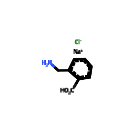 NCc1ccccc1C(=O)O.[Cl-].[Na+]